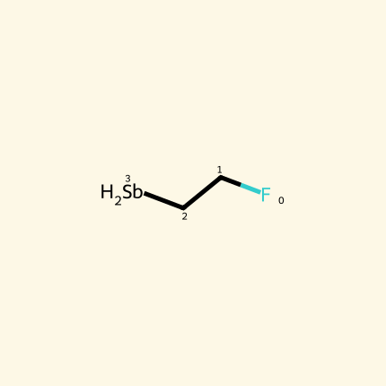 FC[CH2][SbH2]